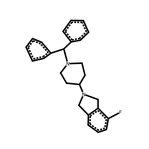 Fc1cccc2c1CN(C1CCN(C(c3ccccc3)c3ccccc3)CC1)C2